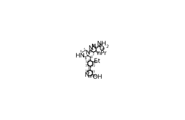 CCCc1cc(N2CCNCC2Cc2ccc(-c3cncc(O)c3)cc2CC)nnc1C(N)=O